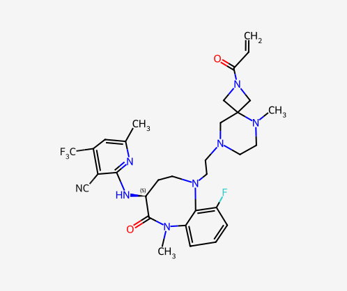 C=CC(=O)N1CC2(CN(CCN3CC[C@H](Nc4nc(C)cc(C(F)(F)F)c4C#N)C(=O)N(C)c4cccc(F)c43)CCN2C)C1